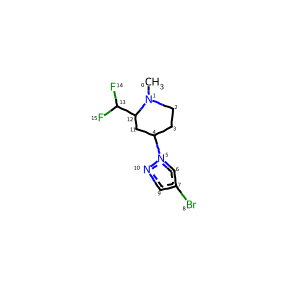 CN1CCC(n2cc(Br)cn2)CC1C(F)F